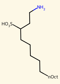 CCCCCCCCCCCCCC(CCN)S(=O)(=O)O